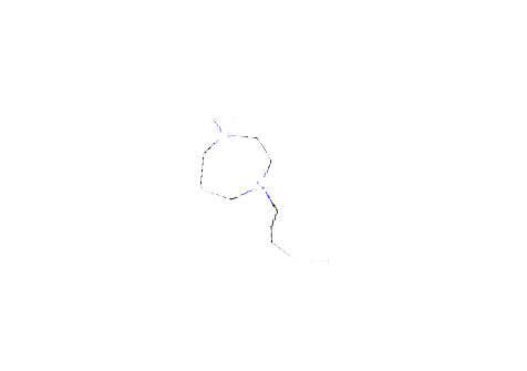 CN1CCCN(CCC(=O)O)CC1